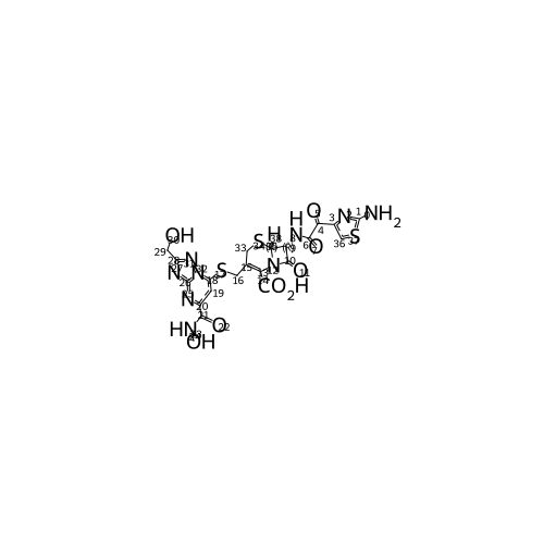 Nc1nc(C(=O)C(=O)N[C@@H]2C(=O)N3C(C(=O)O)=C(CSc4cc(C(=O)NO)nc5nc(CO)nn45)CS[C@H]23)cs1